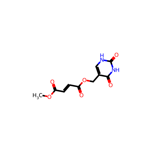 COC(=O)/C=C/C(=O)OCc1c[nH]c(=O)[nH]c1=O